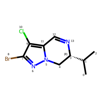 CC(C)[C@@H]1Cn2nc(Br)c(Cl)c2C=N1